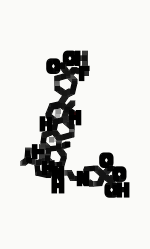 C=C(C)[C@@H]1CC[C@]2(NCCN3CCC(C(C)=O)(C(=O)O)CC3)CC[C@]3(C)[C@H](CC[C@@H]4[C@@]5(C)CC=C(C6=CC[C@@](CF)(C(=O)O)CC6)C(C)(C)[C@@H]5CC[C@]43C)[C@@H]12